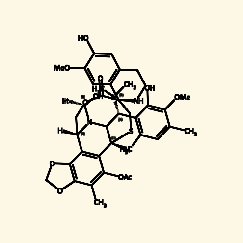 CC[C@H](O)N1C([C@@H](c2c(C)cc(C)c(OC)c2O)N(C)C)[C@@H]2SC[C@]3(NCCc4cc(O)c(OC)cc43)C(=O)OC[C@H]1c1c3c(c(C)c(OC(C)=O)c12)OCO3